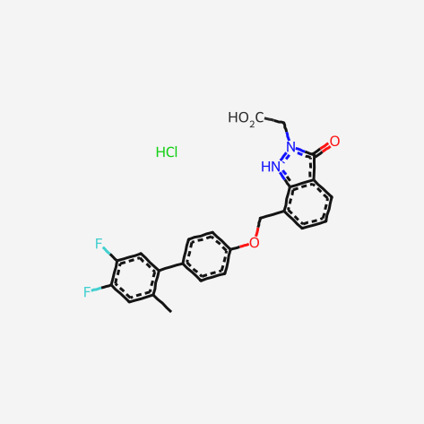 Cc1cc(F)c(F)cc1-c1ccc(OCc2cccc3c(=O)n(CC(=O)O)[nH]c23)cc1.Cl